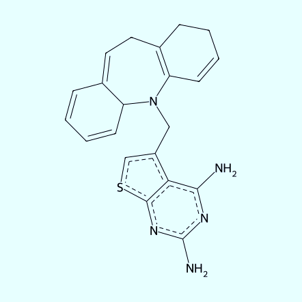 Nc1nc(N)c2c(CN3C4=C(CC=C5C=CC=CC53)CCC=C4)csc2n1